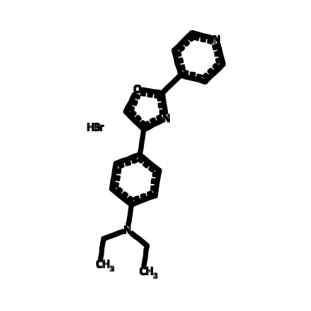 Br.CCN(CC)c1ccc(-c2coc(-c3ccncc3)n2)cc1